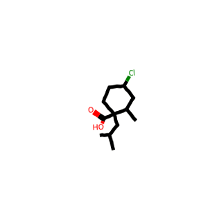 CC(C)CC1(C(=O)O)CCC(Cl)CC1C